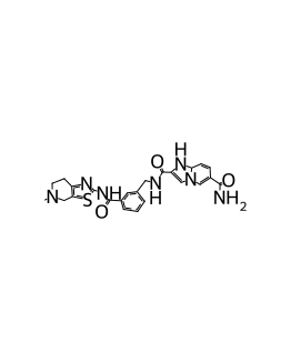 CN1CCc2nc(NC(=O)c3cccc(CNC(=O)C4=CN5C=C(C(N)=O)C=CC5N4)c3)sc2C1